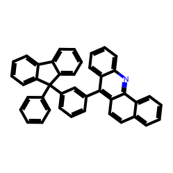 c1ccc(C2(c3cccc(-c4c5ccccc5nc5c4ccc4ccccc45)c3)c3ccccc3-c3ccccc32)cc1